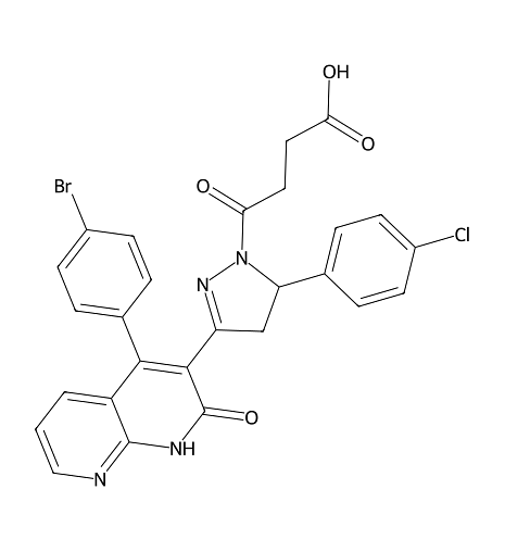 O=C(O)CCC(=O)N1N=C(c2c(-c3ccc(Br)cc3)c3cccnc3[nH]c2=O)CC1c1ccc(Cl)cc1